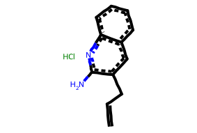 C=CCc1cc2ccccc2nc1N.Cl